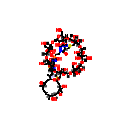 CN[C@H](CSCC1O[C@H]2O[C@@H]3C(CO)O[C@H](O[C@@H]4C(CO)O[C@H](O[C@@H]5C(CO)O[C@H](O[C@@H]6C(CSC)O[C@H](O[C@@H]7C(CO)O[C@@H](O[C@@H]8C(CO)O[C@@H](O[C@H]1[C@H](O)C2O)C(O)[C@H]8O)C(O)[C@H]7O)C(O)[C@H]6O)C(O)[C@H]5O)C(O)[C@H]4O)C(O)[C@H]3O)C(=O)NCCP(=O)(O)NCc1nc(/C=C(\C)C2CC3O[C@]3(C)CCC[C@H](C)[C@H](O)[C@@H](C)C(=O)C(C)(C)[C@@H](O)CC(=O)O2)cs1